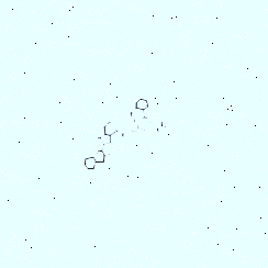 C=C(C)C(=O)OCC(COC(=O)c1cccc2c1C(=O)C(c1nc3ccccc3c(Br)c1O)C2=O)OC(=O)c1ccccc1C(=O)O